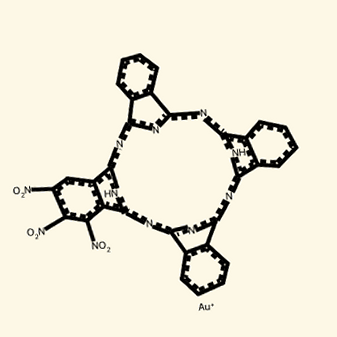 O=[N+]([O-])c1cc2c3nc4nc(nc5[nH]c(nc6nc(nc([nH]3)c2c([N+](=O)[O-])c1[N+](=O)[O-])-c1ccccc1-6)c1ccccc51)-c1ccccc1-4.[Au+]